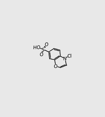 O=S(=O)(O)c1ccc2c(c1)OC=CN2Cl